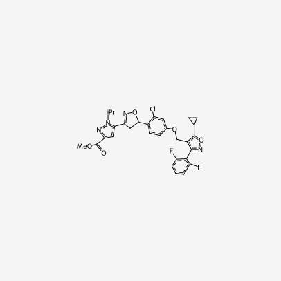 COC(=O)c1cc(C2=NOC(c3ccc(OCc4c(-c5c(F)cccc5F)noc4C4CC4)cc3Cl)C2)n(C(C)C)n1